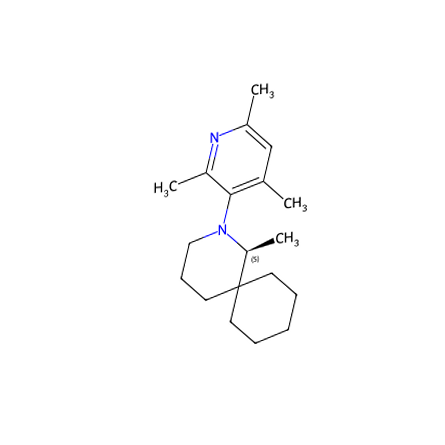 Cc1cc(C)c(N2CCCC3(CCCCC3)[C@@H]2C)c(C)n1